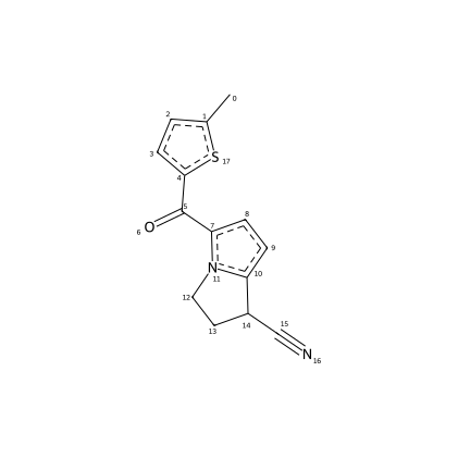 Cc1ccc(C(=O)c2ccc3n2CCC3C#N)s1